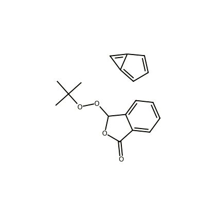 CC(C)(C)OOC1OC(=O)c2ccccc21.c1cc2cc-2c1